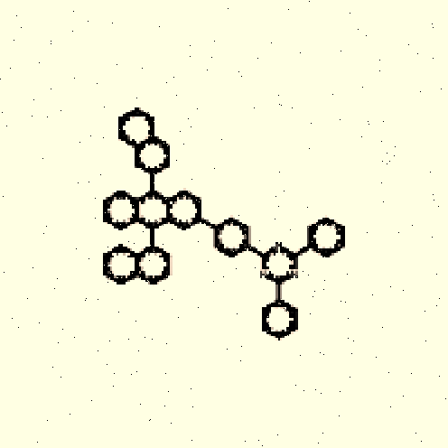 c1ccc(-c2nc(-c3ccccc3)nc(-c3ccc(-c4ccc5c(-c6ccc7ccccc7c6)c6ccccc6c(-c6cccc7ccccc67)c5c4)cc3)n2)cc1